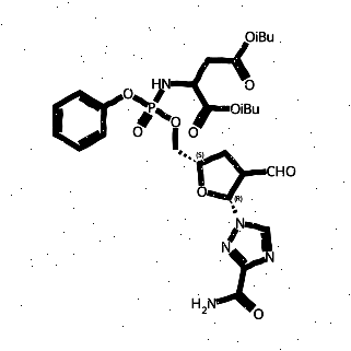 CC(C)COC(=O)CC(NP(=O)(OC[C@@H]1CC(C=O)[C@H](n2cnc(C(N)=O)n2)O1)Oc1ccccc1)C(=O)OCC(C)C